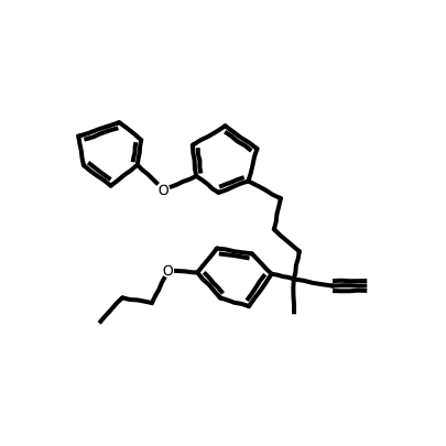 C#CC(C)(CCCc1cccc(Oc2ccccc2)c1)c1ccc(OCCC)cc1